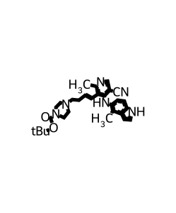 Cc1ncc(C#N)c(Nc2ccc3[nH]ccc3c2C)c1C=CCCN1CCN(C(=O)OC(C)(C)C)CC1